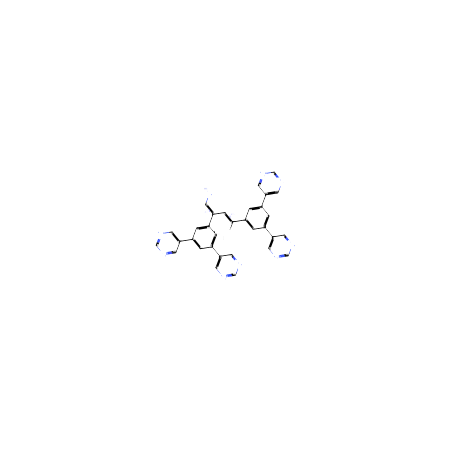 C=N/C=C(\C=C(/C)c1cc(-c2cncnc2)cc(-c2cncnc2)c1)c1cc(-c2cncnc2)cc(-c2cncnc2)c1